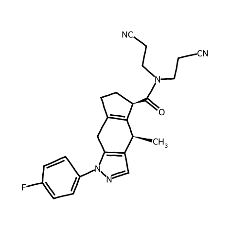 C[C@@H]1C2=C(CC[C@H]2C(=O)N(CCC#N)CCC#N)Cc2c1cnn2-c1ccc(F)cc1